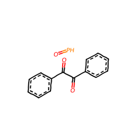 O=C(C(=O)c1ccccc1)c1ccccc1.O=P